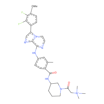 COc1ccc(-c2cnc3c(Nc4ccc(C(=O)NC5CCCN(C(=O)C[N+](C)(C)C)C5)c(C)c4)nccn23)c(F)c1F